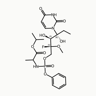 CC[C@@](O)([C@H](O)[C@@](F)(COP(=O)(NC(C)C(=O)OC(C)C)Oc1ccccc1)OC)n1ccc(=O)[nH]c1=O